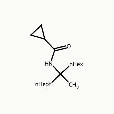 CCCCCCCC(C)(CCCCCC)NC(=O)C1CC1